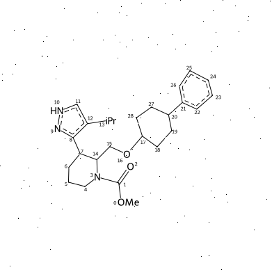 COC(=O)N1CCCC(c2n[nH]cc2C(C)C)C1COC1CCC(c2ccccc2)CC1